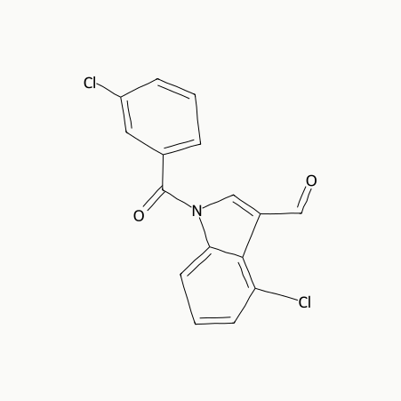 O=Cc1cn(C(=O)c2cccc(Cl)c2)c2cccc(Cl)c12